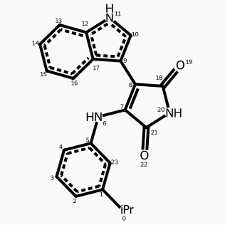 CC(C)c1cccc(NC2=C(c3c[nH]c4ccccc34)C(=O)NC2=O)c1